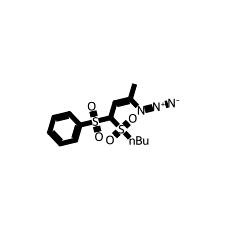 CCCCS(=O)(=O)C(C=C(C)N=[N+]=[N-])S(=O)(=O)c1ccccc1